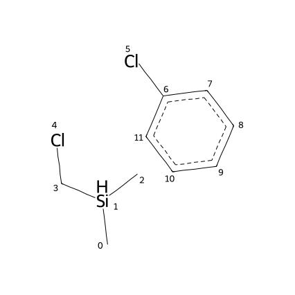 C[SiH](C)CCl.Clc1ccccc1